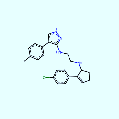 Cc1ccc(-c2c[nH]nc2NCCNC2CCC=C2c2ccc(Cl)cc2)cc1